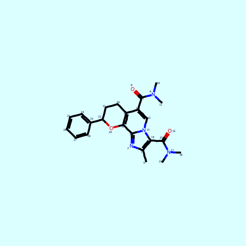 Cc1nc2c3c(c(C(=O)N(C)C)cn2c1C(=O)N(C)C)CCC(c1ccccc1)O3